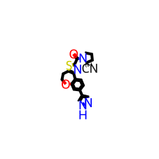 N#C[C@@H]1CCCN1C(=O)c1nc2c(s1)CCOc1cc(-c3cn[nH]c3)ccc1-2